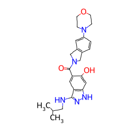 CC(C)CNc1n[nH]c2cc(O)c(C(=O)N3Cc4ccc(N5CCOCC5)cc4C3)cc12